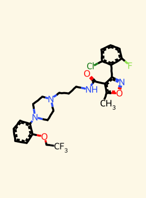 Cc1onc(-c2c(F)cccc2Cl)c1C(=O)NCCCN1CCN(c2ccccc2OCC(F)(F)F)CC1